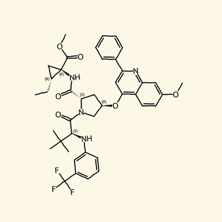 CC[C@@H]1C[C@]1(NC(=O)[C@@H]1C[C@@H](Oc2cc(-c3ccccc3)nc3cc(OC)ccc23)CN1C(=O)[C@@H](Nc1cccc(C(F)(F)F)c1)C(C)(C)C)C(=O)OC